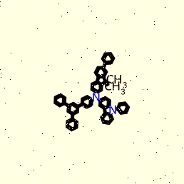 CC1(C)c2cc(-c3ccccc3)ccc2-c2ccc(N(c3ccc(-c4cc(-c5ccccc5)cc(-c5ccccc5)c4)cc3)c3ccc4c(c3)c3ccccc3n4-c3ccccc3)cc21